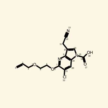 C=CCOCCOc1nc2c(CC#N)cn(C(=O)O)c2cc1Cl